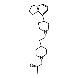 CC(=O)CN1CCC(CCN2CCC(c3cccc4c3CCC4)CC2)CC1